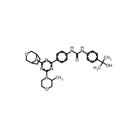 CC1COCCN1c1nc(-c2ccc(NC(=O)Nc3ccc(C(C)(C)O)cc3)cc2)nc(N2C3CCC2COC3)n1